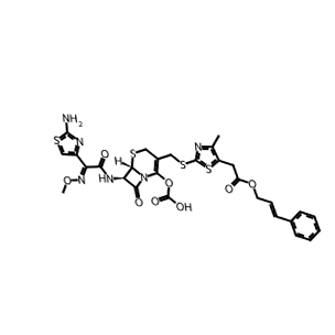 CON=C(C(=O)N[C@@H]1C(=O)N2C(OC(=O)O)=C(CSc3nc(C)c(CC(=O)OCC=Cc4ccccc4)s3)CS[C@@H]12)c1csc(N)n1